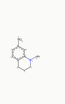 CCCN1CCCc2ccc([N+](=O)[O-])cc21